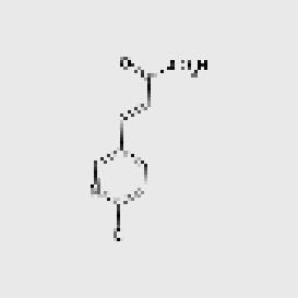 O=C(O)C(=O)C=Cc1ccc(Cl)nc1